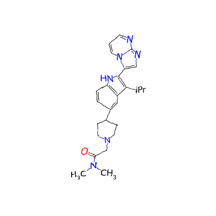 CC(C)c1c(-c2cnc3ncccn23)[nH]c2ccc(C3CCN(CC(=O)N(C)C)CC3)cc12